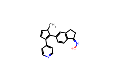 CC1C=CC(c2ccncc2)=C1c1ccc2c(c1)CC/C2=N/O